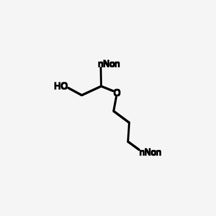 CCCCCCCCCCCCOC(CO)CCCCCCCCC